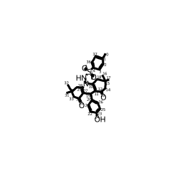 Cc1ccc(S(=O)(=O)NN2C3=C(C(=O)CC(C)(C)C3)C(c3ccc(O)cc3)C3=C2CC(C)(C)CC3=O)cc1